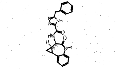 CN1C(=O)[C@H](NC(=O)c2nnc(Cc3ccccc3)[nH]2)[C@H]2CC2c2ccccc21